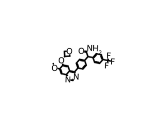 COc1cc2ncnc(-c3ccc(C(C(N)=O)c4ccc(C(F)(F)F)cc4)cc3)c2cc1OC1COC1